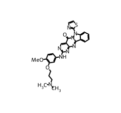 COc1ccc(Nc2ncc3c(=O)n4c(nc3n2)c2ccccc2n4-c2nccs2)cc1OCCCN(C)C